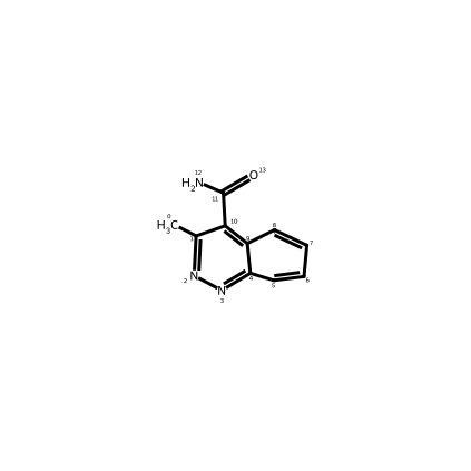 Cc1nnc2ccc[c]c2c1C(N)=O